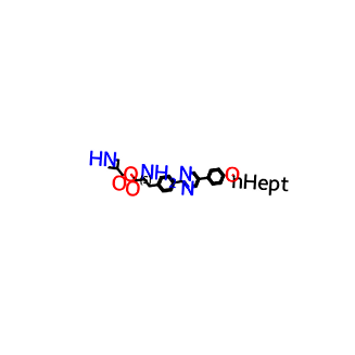 CCCCCCCOc1ccc(-c2cnc(-c3ccc(C[C@H](N)C(=O)OC(=O)C4CNC4)cc3)nc2)cc1